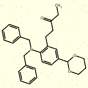 CCC(=O)CCc1cc(C2OCCCO2)ccc1N(Cc1ccccc1)Cc1ccccc1